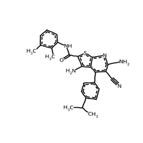 Cc1cccc(NC(=O)c2sc3nc(N)c(C#N)c(-c4ccc(C(C)C)cc4)c3c2N)c1C